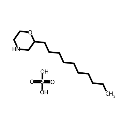 CCCCCCCCCCC1CNCCO1.O=S(=O)(O)O